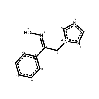 O/N=C(/Cn1cncn1)c1ccccc1